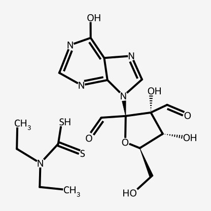 CCN(CC)C(=S)S.O=C[C@@]1(O)[C@H](O)[C@@H](CO)O[C@@]1(C=O)n1cnc2c(O)ncnc21